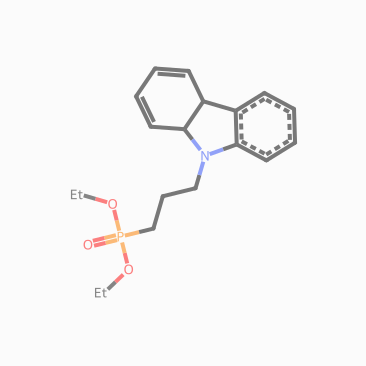 CCOP(=O)(CCCN1c2ccccc2C2C=CC=CC21)OCC